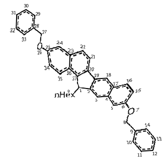 CCCCCCC1c2cc3cc(OCc4ccccc4)ccc3cc2-c2ccc3cc(OCc4ccccc4)ccc3c21